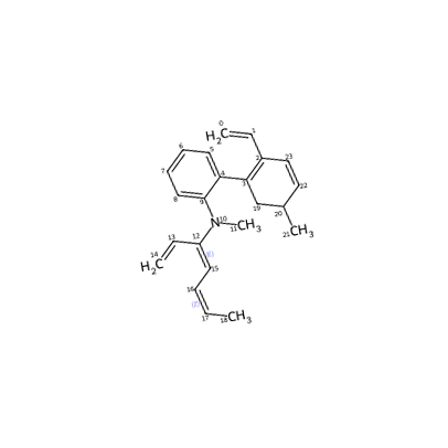 C=CC1=C(c2ccccc2N(C)/C(C=C)=C/C=C\C)CC(C)C=C1